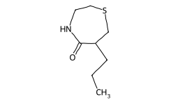 CCCC1CSCCNC1=O